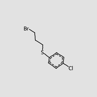 Clc1ccc(SCCCBr)cc1